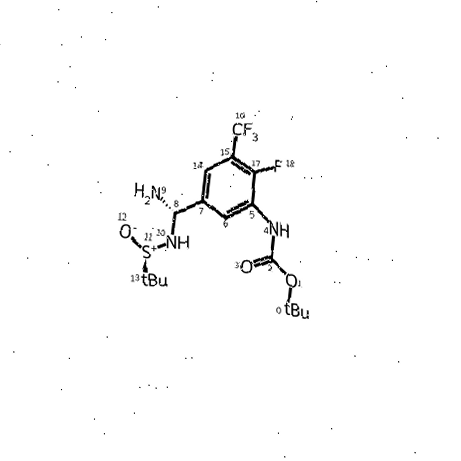 CC(C)(C)OC(=O)Nc1cc([C@@H](N)N[S@+]([O-])C(C)(C)C)cc(C(F)(F)F)c1F